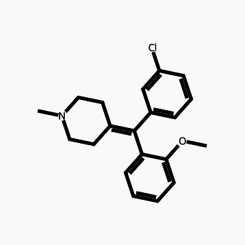 COc1ccccc1C(=C1CCN(C)CC1)c1cccc(Cl)c1